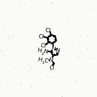 CN(C=O)c1cnn(-c2ccc(Cl)c(Cl)c2Cl)c1N